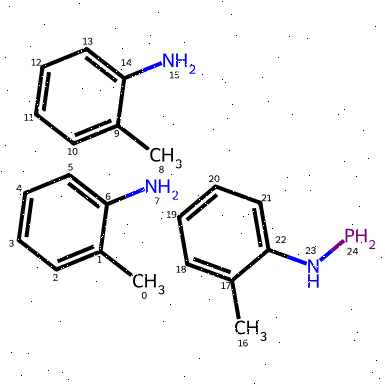 Cc1ccccc1N.Cc1ccccc1N.Cc1ccccc1NP